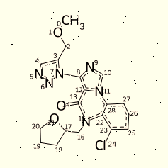 COCc1cnnn1-c1ncn2c1c(=O)n(CC1CCCO1)c1c(Cl)cccc12